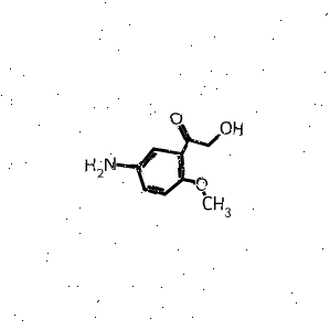 COc1ccc(N)cc1C(=O)CO